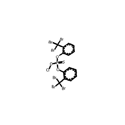 S=P(OCl)(Oc1ccccc1C(Br)(Br)Br)Oc1ccccc1C(Br)(Br)Br